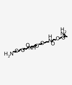 CC(CN)OCCOCCC(=O)NCCCOCCOCCCNC(=O)CCOCCOCCN